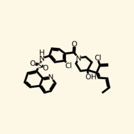 C=C(Cl)/C(=C\C=C/C)C1(O)CCN(C(=O)c2ccc(NS(=O)(=O)c3cccc4cccnc34)cc2Cl)CC1